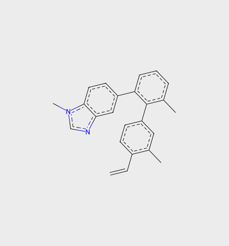 C=Cc1ccc(-c2c(C)cccc2-c2ccc3c(c2)ncn3C)cc1C